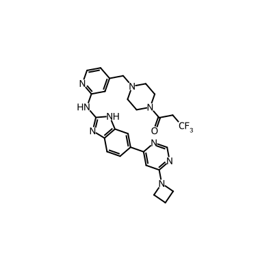 O=C(CC(F)(F)F)N1CCN(Cc2ccnc(Nc3nc4ccc(-c5cc(N6CCC6)ncn5)cc4[nH]3)c2)CC1